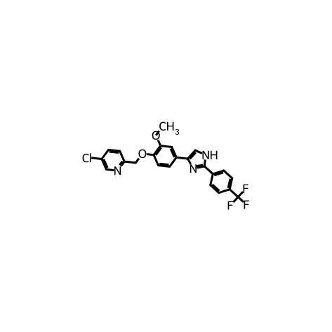 COc1cc(-c2c[nH]c(-c3ccc(C(F)(F)F)cc3)n2)ccc1OCc1ccc(Cl)cn1